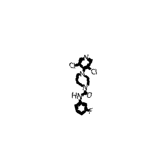 O=C(Nc1cccc(F)c1)N1CCCN(c2c(Cl)cncc2Cl)CC1